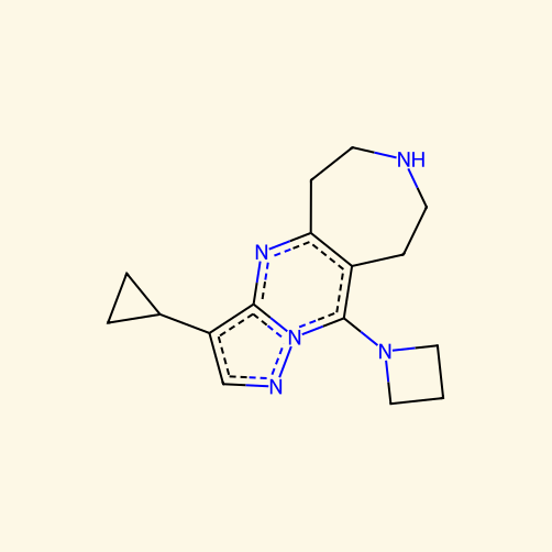 c1nn2c(N3CCC3)c3c(nc2c1C1CC1)CCNCC3